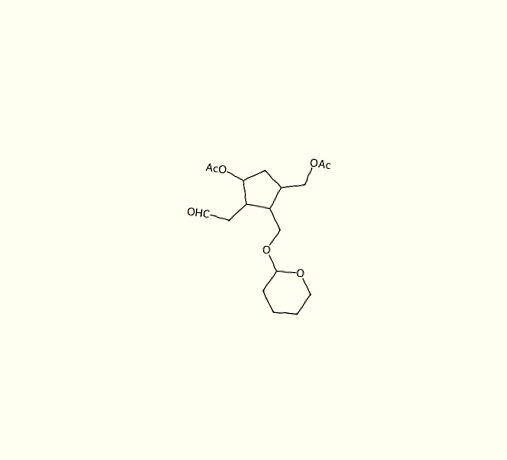 CC(=O)OCC1CC(OC(C)=O)C(CC=O)C1COC1CCCCO1